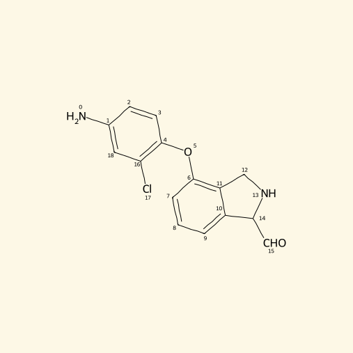 Nc1ccc(Oc2cccc3c2CNC3C=O)c(Cl)c1